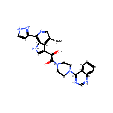 COc1cnc(-c2cc[nH]n2)c2[nH]cc(C(=O)C(=O)N3CCN(c4ncnc5ccccc45)CC3)c12